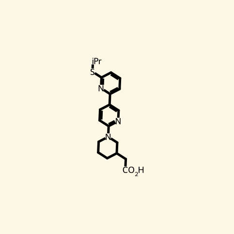 CC(C)Sc1cccc(-c2ccc(N3CCCC(CC(=O)O)C3)nc2)n1